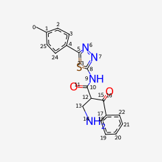 Cc1ccc(-c2nnc(NC(=O)C(CN)C(=O)c3ccccc3)s2)cc1